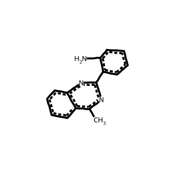 Cc1nc(-c2ccccc2N)nc2ccccc12